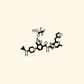 Cc1cn2cc(NC(=O)c3ccc(N4CCC(NC5CC5)CC4)c4cn(C)nc34)nc2c(CC2CCOC2)n1.O=C(O)C(F)(F)F